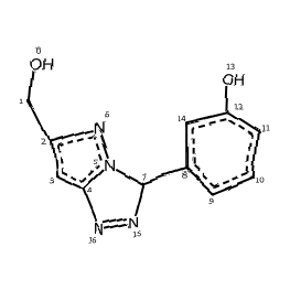 OCc1cc2n(n1)C(c1cccc(O)c1)N=N2